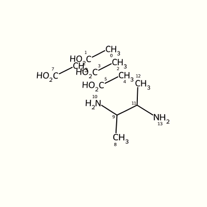 CC(=O)O.CC(=O)O.CC(=O)O.CC(=O)O.CC(N)C(C)N